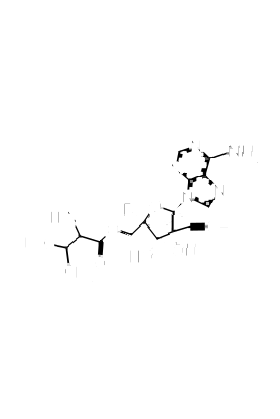 C#C[C@]1(O)[C@H](n2cnc3c(N)ncnc32)O[C@](F)(COC(=O)C(N)C(C)C)[C@H]1O